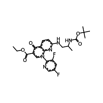 CCOC(=O)c1cn(-c2ncc(F)cc2F)c2nc(NCC(C)NC(=O)OC(C)(C)C)ccc2c1=O